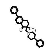 CC1(CN2CCC(c3ccccc3)CC2)CCc2cc(-c3ccccc3)ccc2C1=O